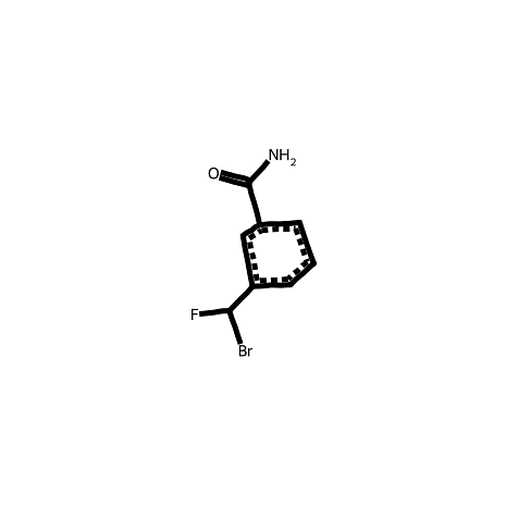 NC(=O)c1cccc(C(F)Br)c1